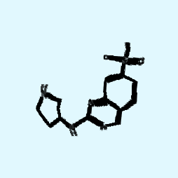 CS(=O)(=O)c1ccc2cnc(NC3CCNC3)nc2c1